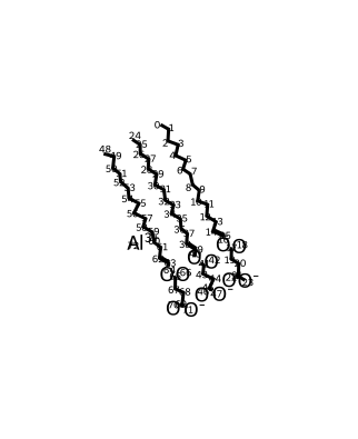 CCCCCCCCCCCCCCC=COC(=O)CCC(=O)[O-].CCCCCCCCCCCCCCC=COC(=O)CCC(=O)[O-].CCCCCCCCCCCCCCC=COC(=O)CCC(=O)[O-].[Al+3]